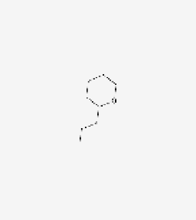 CCCC1CCCCO1